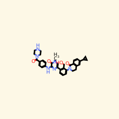 Cn1cc(-c2cccc(N3CCc4cc(C5CC5)ccc4C3=O)c2CO)nc(Nc2ccc(C(=O)N3CCNCC3)cc2)c1=O